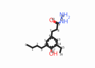 CCCCc1cc(CCC(=O)NN)cc(CC)c1O